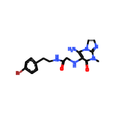 CN1C(=O)C(NCC(=O)NCCc2ccc(Br)cc2)=C(N)N2CCN=C12